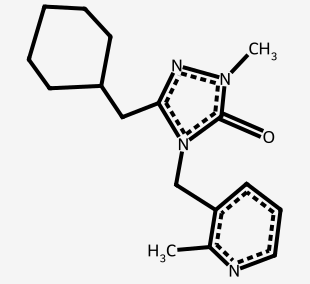 Cc1ncccc1Cn1c(CC2CCCCC2)nn(C)c1=O